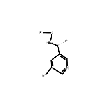 CCSN[C@H](C)c1cncc(Br)c1